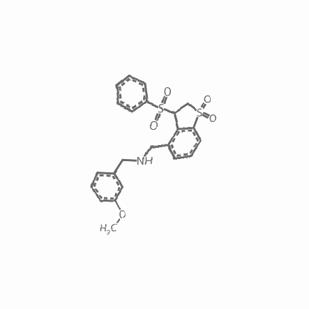 COc1cccc(CNCc2cccc3c2C(S(=O)(=O)c2ccccc2)CS3(=O)=O)c1